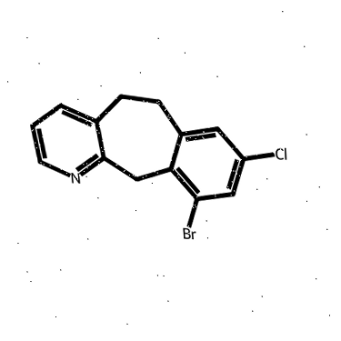 Clc1cc(Br)c2c(c1)CCc1cccnc1C2